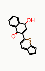 O=C1C(c2ccc3cccc-3s2)=CC(O)c2ccccc21